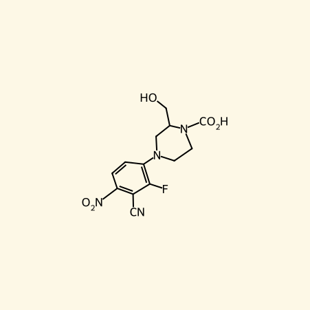 N#Cc1c([N+](=O)[O-])ccc(N2CCN(C(=O)O)C(CO)C2)c1F